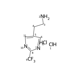 Cl.Cl.NCCc1cnc(C(F)(F)F)nc1